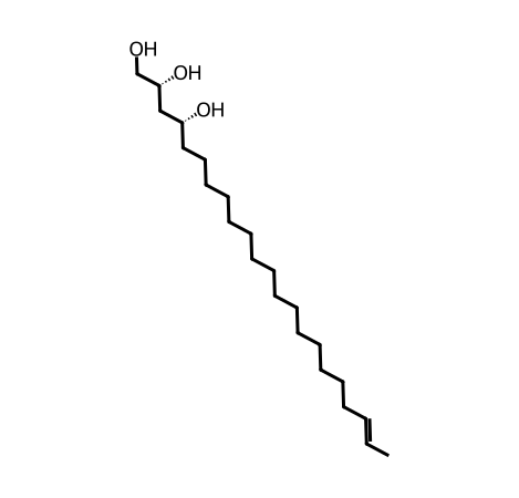 CC=CCCCCCCCCCCCCCCC[C@@H](O)C[C@@H](O)CO